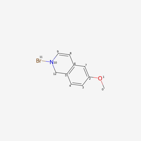 COc1ccc2c(c1)C=CN(Br)C2